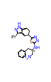 CC(C)c1n[nH]c2c1=CC(c1nnc(N[C@@H](CN)Cc3ccccc3)s1)CC=2